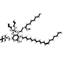 C=CCOP(=O)(OCC=C)O[C@H]1[C@H](OCC[C@@H](CCCCCCC)OC)[C@@H](OCCCCCCCCCC/C=C\CCCCCC)C(O)O[C@@H]1CO[Si](C)(C)C(C)(C)C